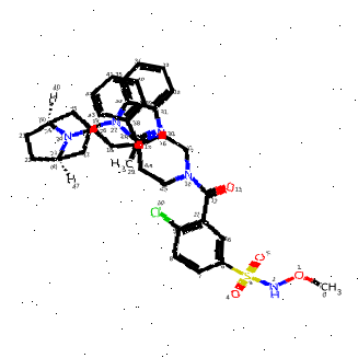 CONS(=O)(=O)c1ccc(Cl)c(C(=O)N2CCC(CCN3[C@@H]4CC[C@H]3CC(n3c(C)nc5ccccc53)C4)(c3ccccc3)CC2)c1